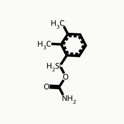 Cc1cccc([SiH2]OC(N)=O)c1C